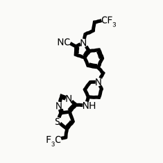 N#Cc1cc2cc(CN3CCC(Nc4ncnc5sc(CC(F)(F)F)cc45)CC3)ccc2n1CCCC(F)(F)F